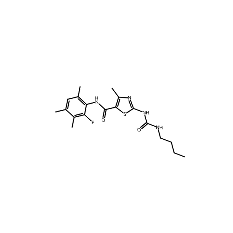 CCCCNC(=O)Nc1nc(C)c(C(=O)Nc2c(C)cc(C)c(C)c2F)s1